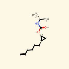 C=CCCCC[C@@H]1C[C@H]1OC(=O)N[C@H](C(=O)O)C(C)(C)C